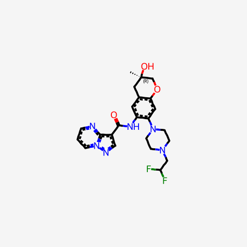 C[C@]1(O)COc2cc(N3CCN(CC(F)F)CC3)c(NC(=O)c3cnn4cccnc34)cc2C1